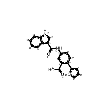 O=C(O)c1cc(NC(=O)c2c[nH]c3ccccc23)ccc1-c1ccco1